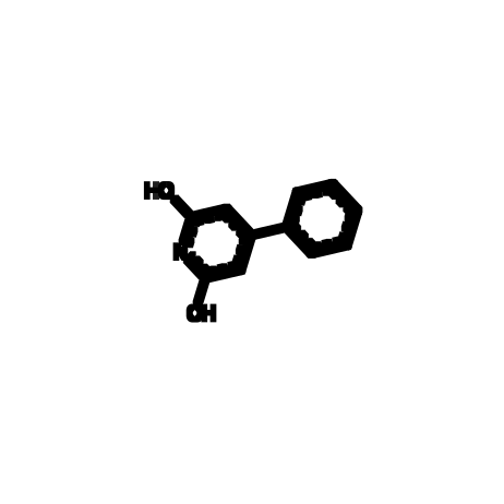 Oc1cc(-c2ccccc2)cc(O)n1